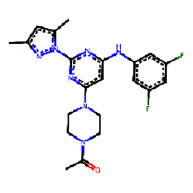 CC(=O)N1CCN(c2cc(Nc3cc(F)cc(F)c3)nc(-n3nc(C)cc3C)n2)CC1